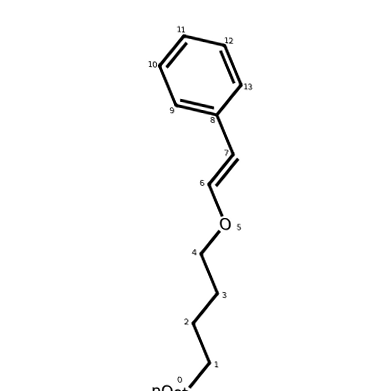 CCCCCCCCCCCCOC=Cc1ccccc1